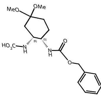 COC1(OC)CC[C@H](NC(=O)OCc2ccccc2)[C@H](NC(=O)O)C1